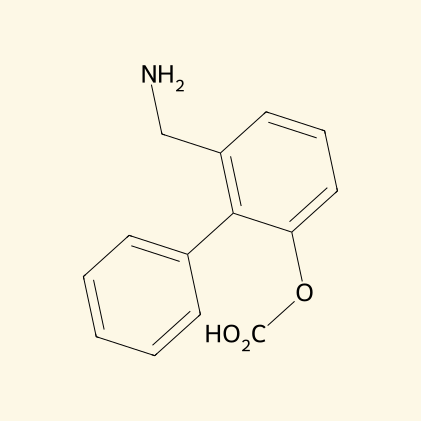 NCc1cccc(OC(=O)O)c1-c1ccccc1